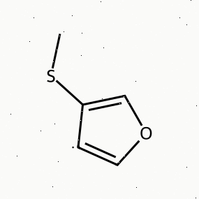 CSc1[c]coc1